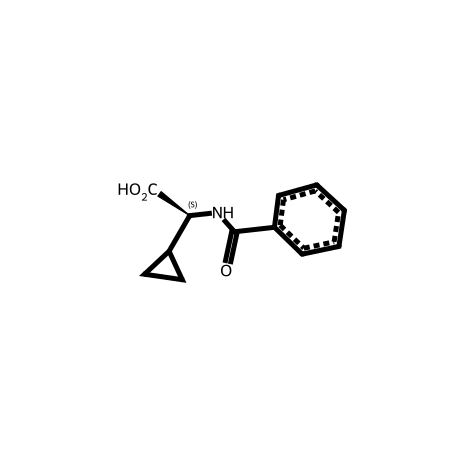 O=C(N[C@H](C(=O)O)C1CC1)c1ccccc1